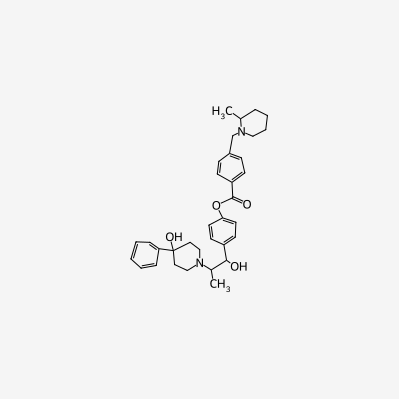 CC1CCCCN1Cc1ccc(C(=O)Oc2ccc(C(O)C(C)N3CCC(O)(c4ccccc4)CC3)cc2)cc1